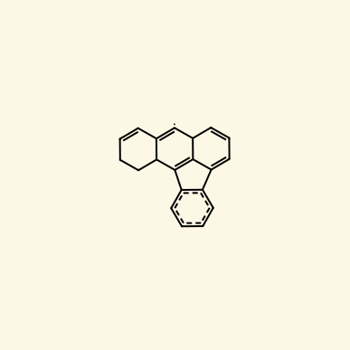 [C]1=C2C=CCCC2C2=C3C(=CC=CC13)c1ccccc12